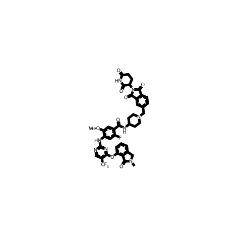 COc1cc(C(=O)NC2CCN(Cc3ccc4c(c3)C(=O)N(C3CCC(=O)NC3=O)C4=O)CC2)c(F)cc1Nc1ncc(C(F)(F)F)c(Oc2cccc3c2C(=O)N(C)C3)n1